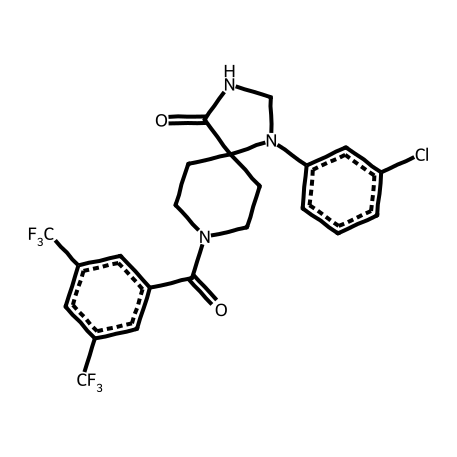 O=C(c1cc(C(F)(F)F)cc(C(F)(F)F)c1)N1CCC2(CC1)C(=O)NCN2c1cccc(Cl)c1